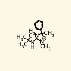 CN1OC(C)(c2ccccc2)N=C1NC(C)(C)C